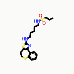 CCCS(=O)(=O)NCCCCCNc1nc2c(s1)CCSc1ccccc1-2